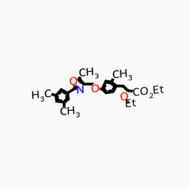 CCOC(=O)C(Cc1ccc(OCc2nc(-c3cc(C)cc(C)c3)oc2C)cc1C)OCC